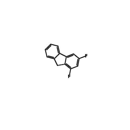 Fc1cc(F)c2c(c1)-c1ccccc1C2